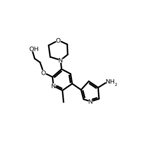 Cc1nc(OCCO)c(N2CCOCC2)cc1-c1cncc(N)c1